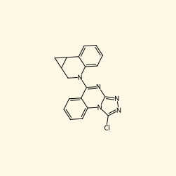 Clc1nnc2nc(N3CC4CC4c4ccccc43)c3ccccc3n12